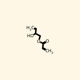 C=CC(=O)OCC(O)C=C